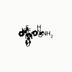 NCC(=O)NC1CCN(c2cc(-n3c(C(F)F)nc4ccccc43)nc(N3CCOCC3)n2)CC1